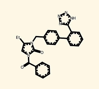 CCc1cn(C(=O)c2ccccc2)c(=O)n1Cc1ccc(-c2ccccc2-c2nnn[nH]2)cc1